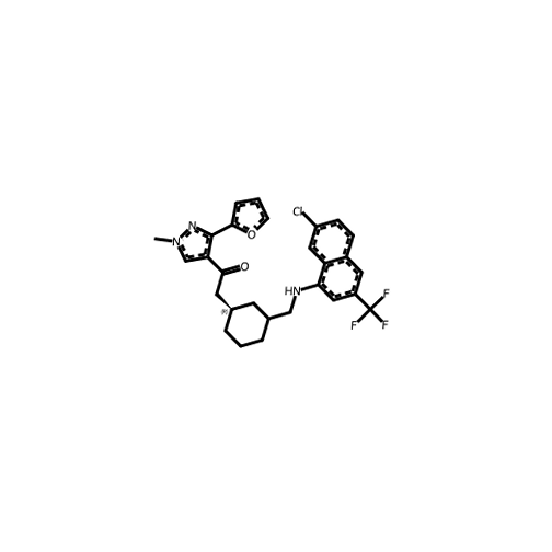 Cn1cc(C(=O)C[C@@H]2CCCC(CNc3cc(C(F)(F)F)cc4ccc(Cl)cc34)C2)c(-c2ccco2)n1